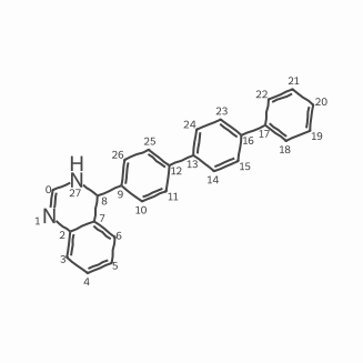 C1=Nc2ccccc2C(c2ccc(-c3ccc(-c4ccccc4)cc3)cc2)N1